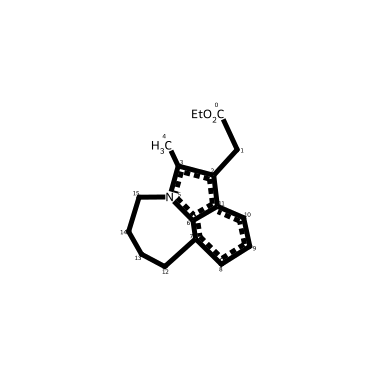 CCOC(=O)Cc1c(C)n2c3c(cccc13)CCCC2